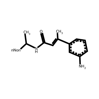 CCCCCCCCCC(C)NC(=O)C=C(C)c1cccc(N)c1